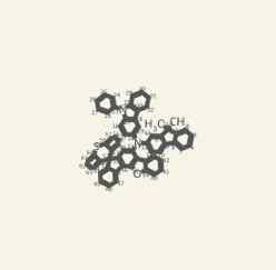 CC1(C)c2ccccc2-c2ccc(N(c3ccc4c(c3)c3c(n4-c4ccccc4)C=CCC3)c3cc4c(c5oc6ccccc6c35)-c3ccccc3C43c4ccccc4Sc4ccccc43)cc21